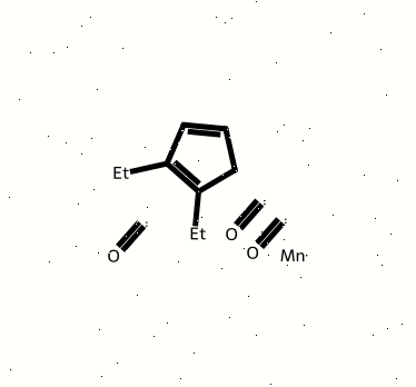 CCC1=C(CC)CC=C1.[C]=O.[C]=O.[C]=O.[Mn]